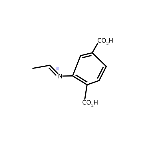 C/C=N/c1cc(C(=O)O)ccc1C(=O)O